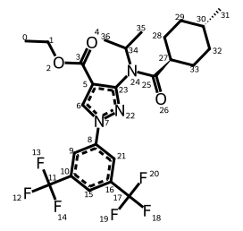 CCOC(=O)c1cn(-c2cc(C(F)(F)F)cc(C(F)(F)F)c2)nc1N(C(=O)[C@H]1CC[C@H](C)CC1)C(C)C